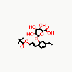 CCc1ccc(/C=C/COC(=O)C(C)(C)C)c(OC2O[C@H](C(=O)O)[C@@H](O)[C@H](O)[C@H]2O)c1